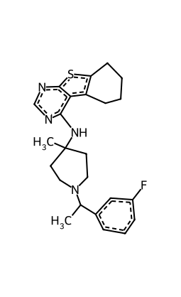 CC(c1cccc(F)c1)N1CCC(C)(Nc2ncnc3sc4c(c23)CCCC4)CC1